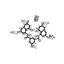 O=C(Nc1cc(S(=O)(=O)O)cc2cc(S(=O)(=O)O)cc(O)c12)c1cc(C(=O)Nc2cc(S(=O)(=O)O)cc3cc(S(=O)(=O)O)cc(O)c23)cc([N+](=O)[O-])c1.[Na].[Na].[Na].[Na]